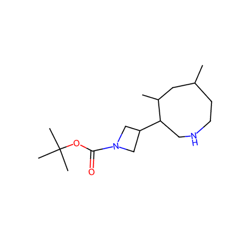 CC1CCNCC(C2CN(C(=O)OC(C)(C)C)C2)C(C)C1